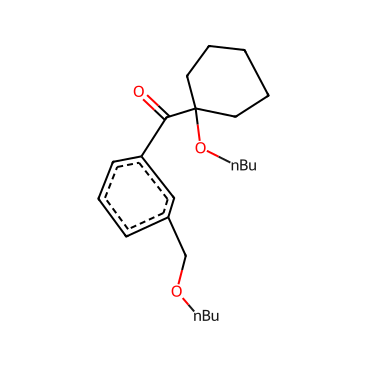 CCCCOCc1cccc(C(=O)C2(OCCCC)CCCCC2)c1